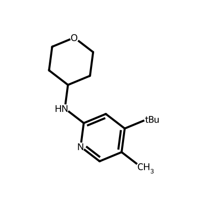 Cc1cnc(NC2CCOCC2)cc1C(C)(C)C